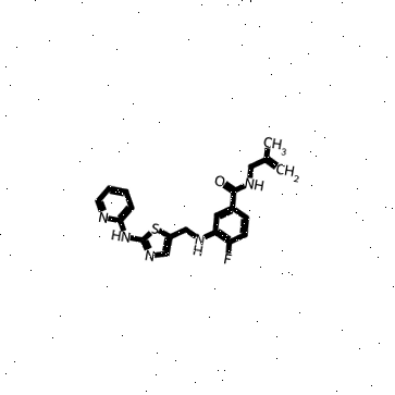 C=C(C)CNC(=O)c1ccc(F)c(NCc2cnc(Nc3ccccn3)s2)c1